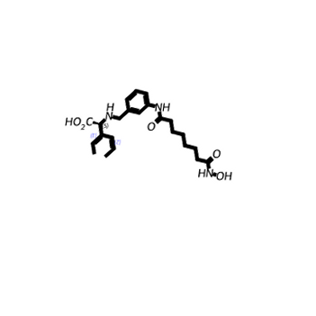 C/C=C\C(=C/C)[C@H](NCc1cccc(NC(=O)CCCCCCC(=O)NO)c1)C(=O)O